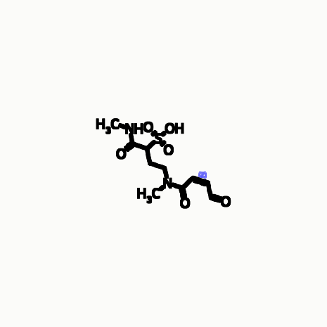 CNC(=O)C(CCN(C)C(=O)/C=C\C=O)S(=O)(=O)O